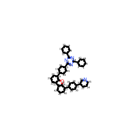 c1ccc(-c2nc(-c3ccccc3)nc(-c3ccc(-c4cccc5c4oc4c(-c6ccc(-c7cccnc7)cc6)cccc45)cc3)n2)cc1